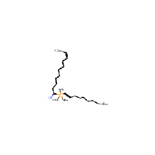 CCCCCCCC/C=C\CCCCCCCC(N)P(C=CCCCCCCCCCCCCCCCC)(CCCC)(CCCC)CCCC